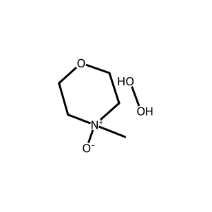 C[N+]1([O-])CCOCC1.OO